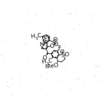 CCn1ncc(C(=O)c2cc(F)c3c(c2C)C(OC)CCS3(=O)=O)c1OS(=O)(=O)c1ccc(C)cc1